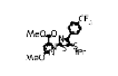 COC(=O)c1cc(OC)nn1-c1nc(-c2ccc(C(F)(F)F)cc2)c(SC(C)C)s1